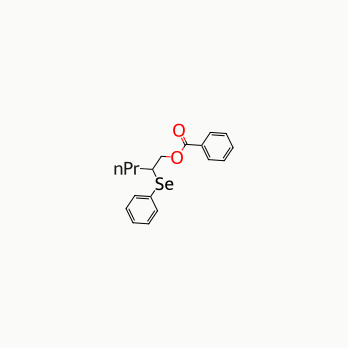 CCCC(COC(=O)c1ccccc1)[Se]c1ccccc1